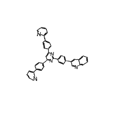 c1ccc(-c2ccc(-c3cc(-c4ccc(-c5ccccn5)cc4)nc(-c4ccc(-c5cnc6ccccc6c5)cc4)n3)cc2)nc1